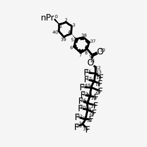 CCC[C@H]1CC[C@H](c2ccc(C(=O)OCC(F)(F)C(F)(F)C(F)(F)C(F)(F)C(F)(F)C(F)(F)C(F)(F)C(F)F)cc2)CC1